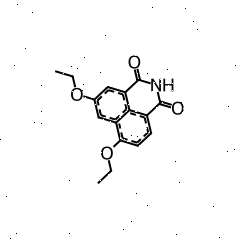 CCOc1cc2c3c(ccc(OCC)c3c1)C(=O)NC2=O